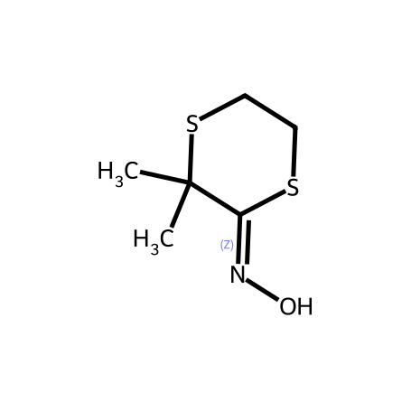 CC1(C)SCCS/C1=N\O